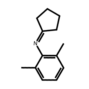 Cc1cccc(C)c1N=C1CCCC1